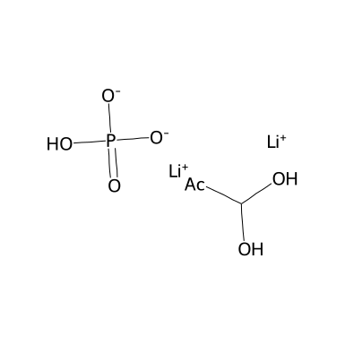 CC(=O)C(O)O.O=P([O-])([O-])O.[Li+].[Li+]